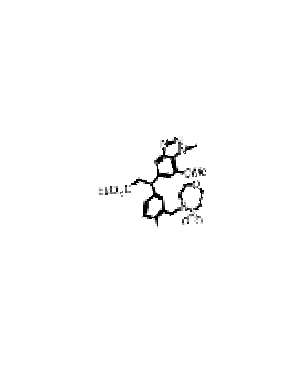 CCOC(=O)CC(c1ccc(C)c(CN2CCOCCS2(=O)=O)c1)c1cc(OC)c2c(c1)nnn2C